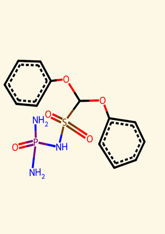 NP(N)(=O)NS(=O)(=O)C(Oc1ccccc1)Oc1ccccc1